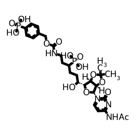 CC(=O)Nc1ccn([C@@H]2O[C@H](C(O)CCC(CCNC(=O)OCc3ccc(P(=O)(O)O)cc3)P(=O)(O)O)[C@H]3OC(C)(C)O[C@H]32)c(=O)n1